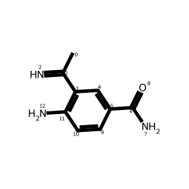 CC(=N)c1cc(C(N)=O)ccc1N